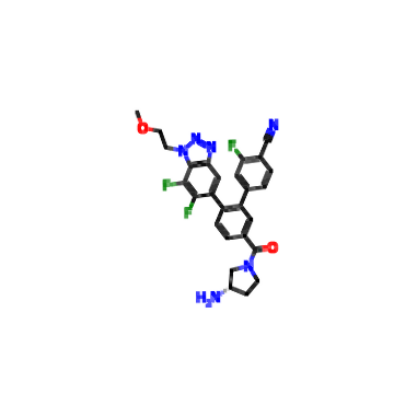 COCCn1nnc2cc(-c3ccc(C(=O)N4CC[C@H](N)C4)cc3-c3ccc(C#N)c(F)c3)c(F)c(F)c21